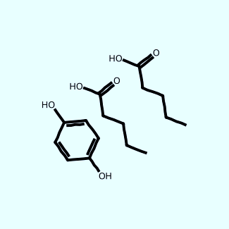 CCCCC(=O)O.CCCCC(=O)O.Oc1ccc(O)cc1